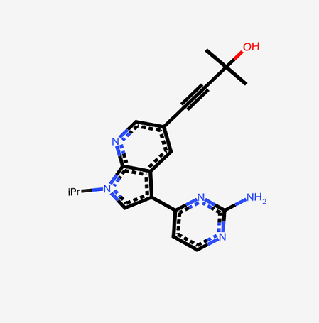 CC(C)n1cc(-c2ccnc(N)n2)c2cc(C#CC(C)(C)O)cnc21